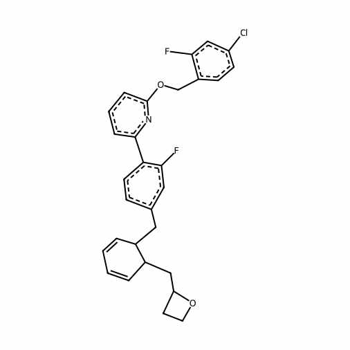 Fc1cc(Cl)ccc1COc1cccc(-c2ccc(CC3C=CC=CC3CC3CCO3)cc2F)n1